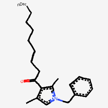 CCCCCCCCCCCCCCCCCC(=O)c1c(C)cn(Cc2ccccc2)c1C